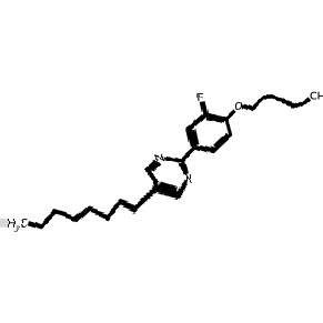 CCCCCCCCc1cnc(-c2ccc(OCCCC)c(F)c2)nc1